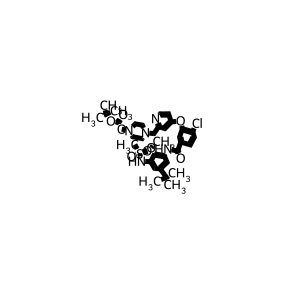 COc1c(NC(=O)c2ccc(Cl)c(Oc3ccnc(CN4CCN(OC(=O)OC(C)(C)C)CC4)c3)c2)cc(C(C)(C)C)cc1NS(C)(=O)=O